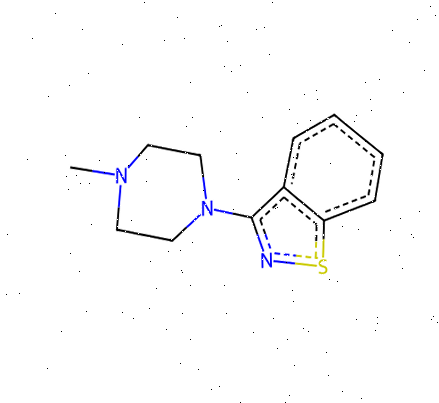 CN1CCN(c2nsc3ccccc23)CC1